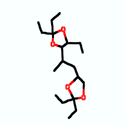 CCC1OC(CC)(CC)OC1C(C)CC1COC(CC)(CC)O1